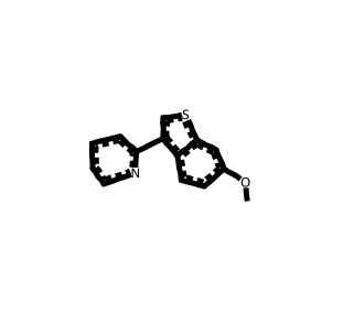 COc1ccc2c(-c3ccccn3)csc2c1